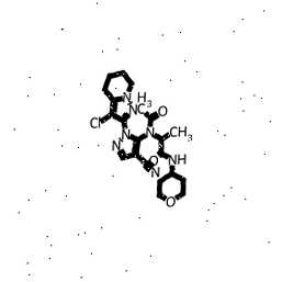 CC(=O)N(c1c(C#N)cnn1-c1nn2c(c1Cl)CCCC2)C(C)C(=O)NC1CCOCC1